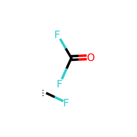 O=C(F)F.[C]F